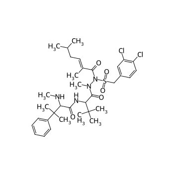 CNC(C(=O)NC(C(=O)N(C)N(C(=O)/C(C)=C/CC(C)C)S(=O)(=O)Cc1ccc(Cl)c(Cl)c1)C(C)(C)C)C(C)(C)c1ccccc1